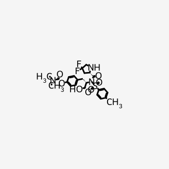 Cc1ccc(S(=O)(=O)N(C(=O)[C@@H]2CC(F)(F)CN2)[C@@H](Cc2ccc(OC(=O)N(C)C)cc2)C(=O)O)cc1